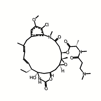 CC[C@@H]1/C=C/C=C(\C)Cc2cc(OC)c(Cl)c(c2)N(C)C(=O)C[C@@H](OC(=O)[C@H](C)N(C)C(=O)CCN(C)C)[C@]2(C)O[C@H]2C[C@@H]2C[C@@]1(O)NC(=O)O2